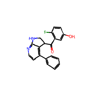 O=C(c1cc(O)ccc1F)C1CNc2nccc(-c3ccccc3)c21